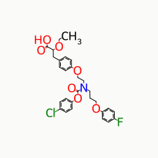 CCOC(Cc1ccc(OCCN(CCCOc2ccc(F)cc2)C(=O)Oc2ccc(Cl)cc2)cc1)C(=O)O